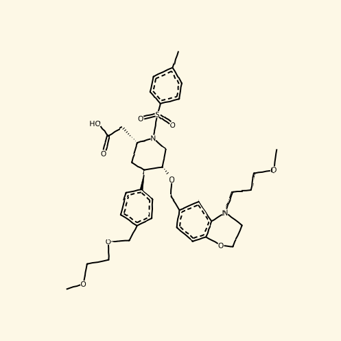 COCCCN1CCOc2ccc(CO[C@H]3CN(S(=O)(=O)c4ccc(C)cc4)[C@@H](CC(=O)O)C[C@@H]3c3ccc(COCCOC)cc3)cc21